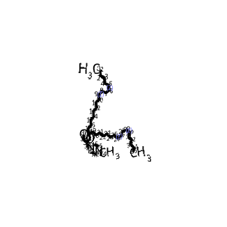 CCCCC/C=C\C/C=C\CCCCCCCCC1(CCCCCCC/C=C\C/C=C\CCCCC)OCC(CN2CCN(C)CC2)O1